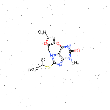 CCOC(=O)C(CC)Sc1nc2c(c(=O)[nH]c(=O)n2C)n1Cc1ccc([N+](=O)[O-])o1